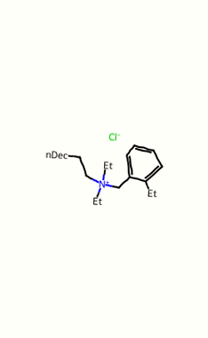 CCCCCCCCCCCC[N+](CC)(CC)Cc1ccccc1CC.[Cl-]